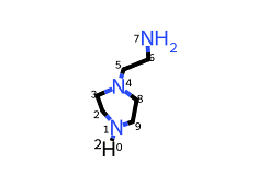 [2H]N1CCN(CCN)CC1